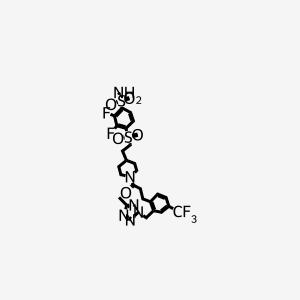 Cc1nnn(Cc2cc(C(F)(F)F)ccc2CCC(=O)N2CCC(CCS(=O)(=O)c3ccc(S(N)(=O)=O)c(F)c3F)CC2)n1